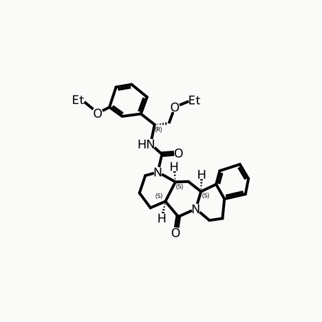 CCOC[C@H](NC(=O)N1CCC[C@@H]2C(=O)N3CCc4ccccc4[C@@H]3C[C@@H]21)c1cccc(OCC)c1